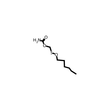 CCCCCCOSCOC(N)=O